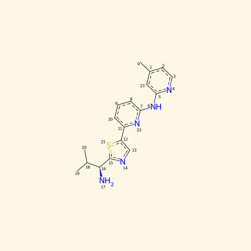 Cc1ccnc(Nc2cccc(-c3cnc([C@@H](N)C(C)C)s3)n2)c1